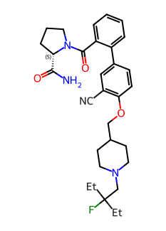 CCC(F)(CC)CN1CCC(COc2ccc(-c3ccccc3C(=O)N3CCC[C@H]3C(N)=O)cc2C#N)CC1